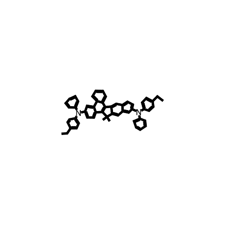 CCc1ccc(N(c2ccccc2)c2ccc3cc4c(cc3c2)C(C)(C)c2c-4c3ccccc3c3cc(N(c4ccccc4)c4ccc(CC)cc4)ccc23)cc1